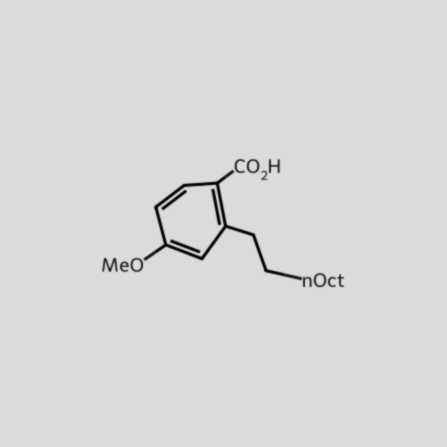 CCCCCCCCCCc1cc(OC)ccc1C(=O)O